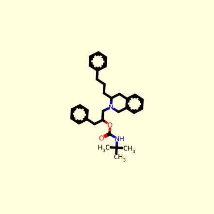 CC(C)(C)NC(=O)OC(Cc1ccccc1)CN1Cc2ccccc2CC1CCCc1ccccc1